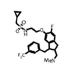 CNCC1Cc2cc(F)c(OCCNS(=O)(=O)CC3CC3)cc2C1Cc1cccc(C(F)(F)F)c1